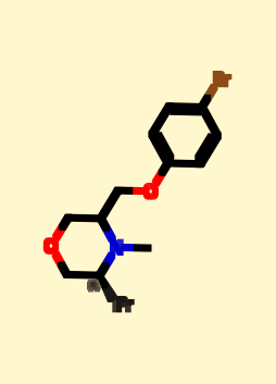 CC(C)[C@H]1COCC(COc2ccc(Br)cc2)N1C